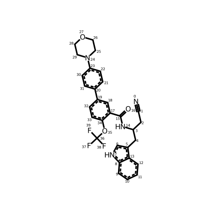 N#CCC(Cc1c[nH]c2ccccc12)NC(=O)c1cc(-c2ccc(N3CCOCC3)cc2)ccc1OC(F)(F)F